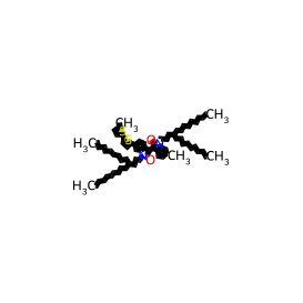 CCCCCCCCCCC(CCCCCCCCCC)CCCN1C(=O)C(C2C(=O)N(CCCC(CCCCCCCCCC)CCCCCCCCCC)c3cc(-c4ccc(-c5ccc(C)s5)s4)ccc32)c2ccc(C)cc21